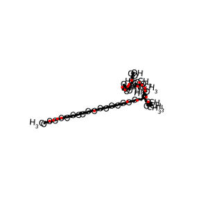 COCCOCCOCCOCCOCCOCCOCOCCOCCOCCOCCOCCOCCOCCOCCOCCOCCCc1cc(NC(=O)[C@H](C)NC(=O)C(NC(=O)CN2C(=O)C(N3C(=O)C=CC3=O)CC2COCCS(=O)(=O)O)C(C)C)ccc1COC(=O)C(C)(C)C